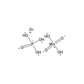 O=P(O)(O)O.[O]=[Mo](=[O])([OH])[OH].[Zn]